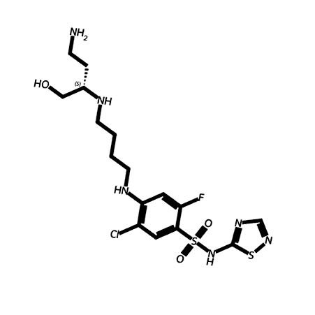 NCC[C@@H](CO)NCCCCNc1cc(F)c(S(=O)(=O)Nc2ncns2)cc1Cl